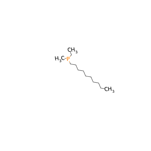 CCCCCCCCCCP(C)CC